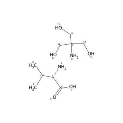 CC(C)[C@H](N)C(=O)O.NC(CO)(CO)CO